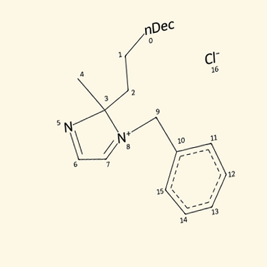 CCCCCCCCCCCCC1(C)N=CC=[N+]1Cc1ccccc1.[Cl-]